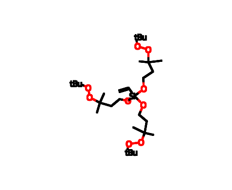 C=C[Si](OCCC(C)(C)OOC(C)(C)C)(OCCC(C)(C)OOC(C)(C)C)OCCC(C)(C)OOC(C)(C)C